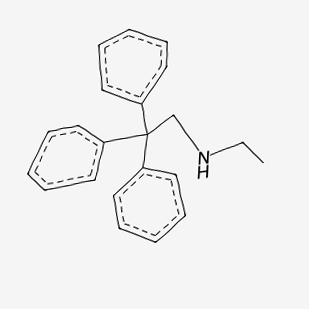 CCNCC(c1ccccc1)(c1ccccc1)c1ccccc1